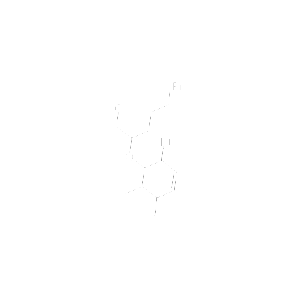 CCC1C=CC(C)C(C)C1OC(CO)CCCC(C)C